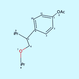 CC(=O)Oc1ccc(C(COC(C)C)C(C)C)cc1